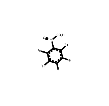 [2H]c1c([2H])c([13C](=O)C(=O)O)c([2H])c([2H])c1F